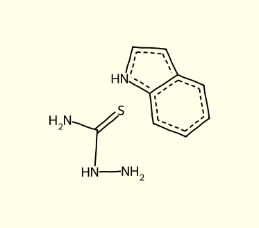 NNC(N)=S.c1ccc2[nH]ccc2c1